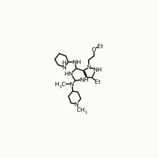 CCOCCN1NC(CC)C2=C1C(NC1CCCCN1)NC(N(C)C1CCN(C)CC1)N2